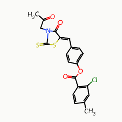 CC(=O)CN1C(=O)/C(=C/c2ccc(OC(=O)c3ccc(C)cc3Cl)cc2)SC1=S